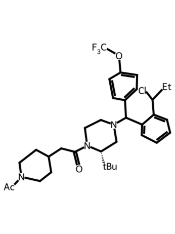 CCC(Cl)c1ccccc1C(c1ccc(OC(F)(F)F)cc1)N1CCN(C(=O)CC2CCN(C(C)=O)CC2)[C@@H](C(C)(C)C)C1